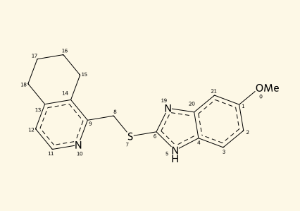 COc1ccc2[nH]c(SCc3nccc4c3CCCC4)nc2c1